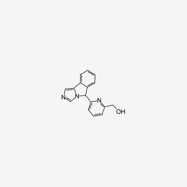 OCc1cccc(C2c3ccccc3-c3cncn32)n1